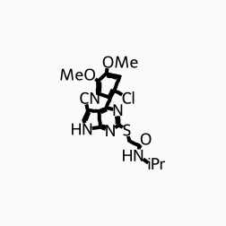 COc1cc(Cl)c(-c2nc(SCC(=O)NC(C)C)nc3[nH]cc(C#N)c23)cc1OC